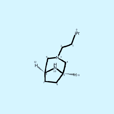 CC(C)CCN1C[C@H]2CC[C@@H](C1)N2